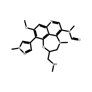 CNCC1CN(C)c2c(N(C)C=O)cnc3cc(OC)c(-c4cnn(C)c4)c(c23)O1